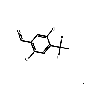 O=Cc1cc(Cl)c(C(F)(F)F)cc1Cl